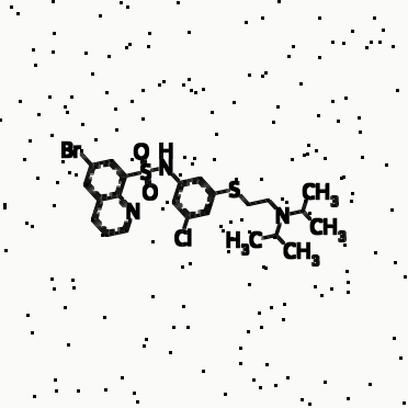 CC(C)N(CCSc1cc(Cl)cc(NS(=O)(=O)c2cc(Br)cc3cccnc23)c1)C(C)C